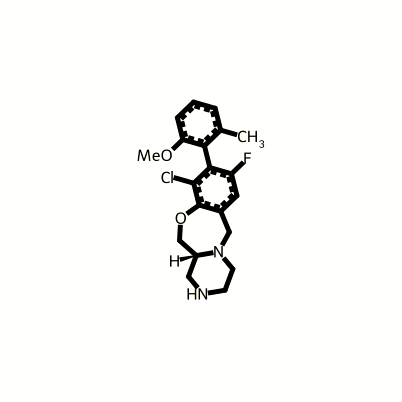 COc1cccc(C)c1-c1c(F)cc2c(c1Cl)OC[C@H]1CNCCN1C2